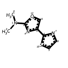 CN(C)c1nc(-c2nc[c]s2)co1